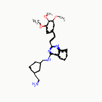 COc1cc(C=Cc2nc(NCC3CCCC(CN)C3)c3ccccc3n2)cc(OC)c1OC